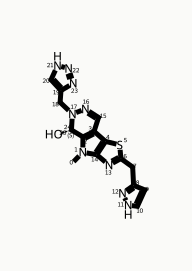 Cn1c2c(c3sc(Cc4cc[nH]n4)nc31)C=NN(Cc1c[nH]nn1)[C@H]2O